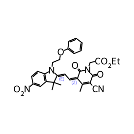 CCOC(=O)CN1C(=O)C(C#N)=C(C)/C(=C/C=C2/N(CCOc3ccccc3)c3ccc([N+](=O)[O-])cc3C2(C)C)C1=O